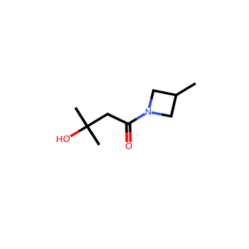 CC1CN(C(=O)CC(C)(C)O)C1